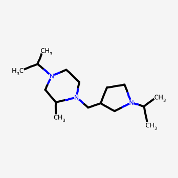 CC(C)N1CCC(CN2CCN(C(C)C)CC2C)C1